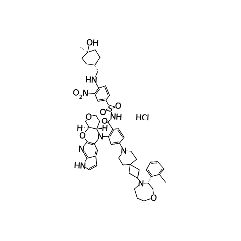 Cc1ccccc1[C@@H]1COCCCN1C1CC2(CCN(c3ccc(C(=O)NS(=O)(=O)c4ccc(NC[C@H]5CC[C@](C)(O)CC5)c([N+](=O)[O-])c4)c(N4c5cc6cc[nH]c6nc5O[C@H]5COCC[C@@H]54)c3)CC2)C1.Cl